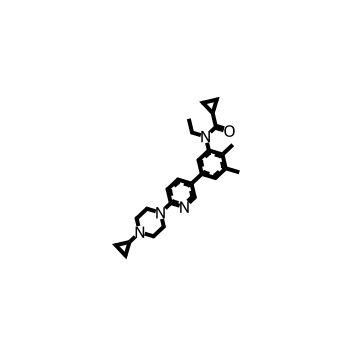 CCN(C(=O)C1CC1)c1cc(-c2ccc(N3CCN(C4CC4)CC3)nc2)cc(C)c1C